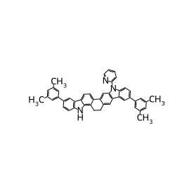 Cc1cc(C)cc(-c2ccc3[nH]c4c5c(ccc4c3c2)-c2cc3c(cc2CC5)c2cc(-c4cc(C)cc(C)c4)ccc2n3-c2ccccn2)c1